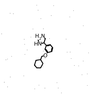 CNC(CN)c1cccc(OCC2CCCCC2)c1